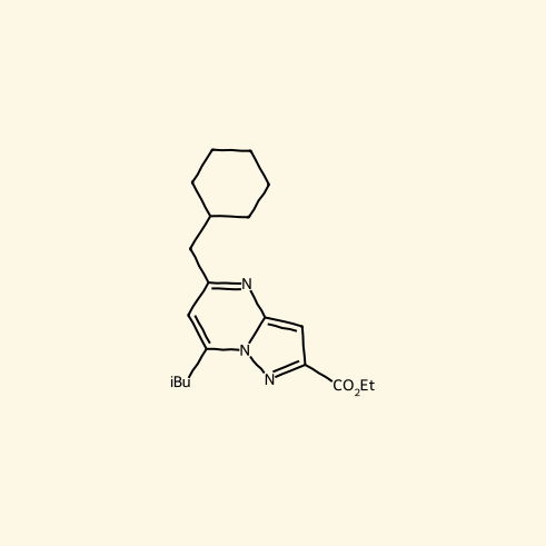 CCOC(=O)c1cc2nc(CC3CCCCC3)cc(C(C)CC)n2n1